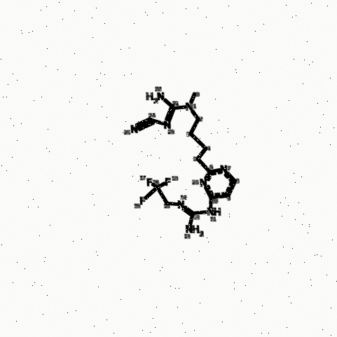 CN(CCCCc1nccc(NC(N)=NCC(F)(F)F)n1)C(N)=NC#N